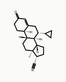 C[C@]12CC[C@H]3[C@@H]([C@@H](C4CC4)CC4=CC(=O)CC[C@@H]43)[C@@H]1CC[C@@H]2C#N